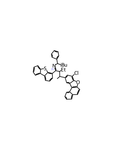 CCC(C)C(/N=C(/c1cccc2c1sc1ccccc12)C(CC)C(C)c1cc(Cl)c2oc3ccc4ccccc4c3c2c1)c1ccccc1